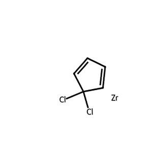 ClC1(Cl)C=CC=C1.[Zr]